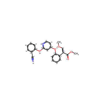 CO/C=C(/C(=O)OC)c1ccccc1Oc1ccnc(Oc2ccccc2C#N)c1